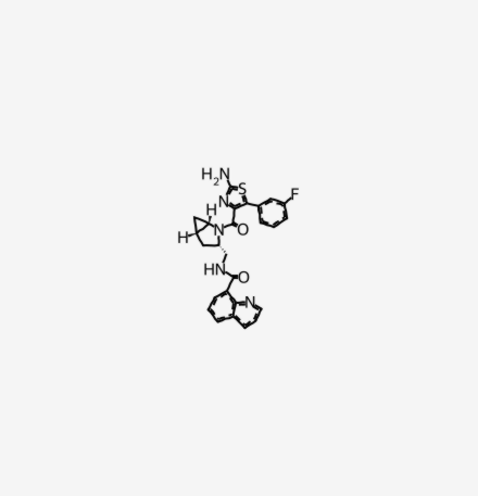 Nc1nc(C(=O)N2[C@H](CNC(=O)c3cccc4cccnc34)C[C@@H]3C[C@@H]32)c(-c2cccc(F)c2)s1